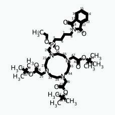 CCOP(=O)(CCCCN1C(=O)c2ccccc2C1=O)CN1CCN(CC(=O)OC(C)(C)C)CCN(CC(=O)OC(C)(C)C)CCN(CC(=O)OC(C)(C)C)CC1